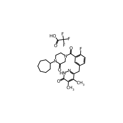 Cc1c(Cc2ccc(F)c(C(=O)N3CCN(C4CCCCCC4)C(=O)C3)c2)n[nH]c(=O)c1C.O=C(O)C(F)(F)F